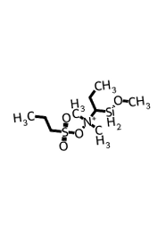 CCCS(=O)(=O)O[N+](C)(C)C(CC)[SiH2]OC